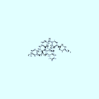 CN1CCN(c2ccc(Nc3ncc4cc(-c5ccc(Cl)cc5Cl)c(=O)n(C5C(=O)c6ccccc6NC5(C)C)c4n3)cc2)CC1